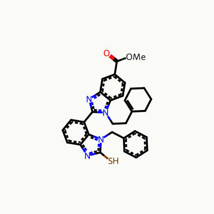 COC(=O)c1ccc2c(c1)nc(-c1cccc3nc(S)n(Cc4ccccc4)c13)n2CCC1=CCCCC1